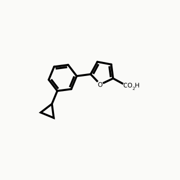 O=C(O)c1ccc(-c2cccc(C3CC3)c2)o1